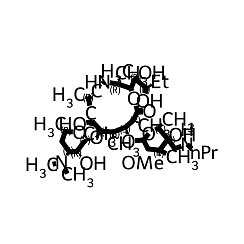 CCCNC[C@]1(O)[C@H](C)OC(O[C@H]2[C@H](C)[C@@H](O[C@@H]3O[C@H](C)C[C@H](N(C)C)[C@H]3O)C(C)(O)C[C@@H](C)CN[C@H](C)C([C@](C)(O)[C@H](O)CC)OC(=O)[C@@H]2C)C[C@@]1(C)OC